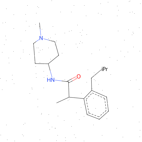 CC(C)Cc1ccccc1C(C)C(=O)NC1CCN(C)CC1